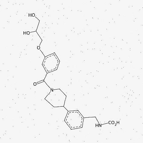 O=C(O)NCc1cccc(C2CCN(C(=O)c3cccc(OCC(O)CO)c3)CC2)c1